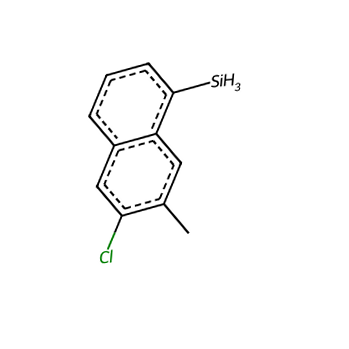 Cc1cc2c([SiH3])cccc2cc1Cl